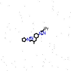 CC(C)c1cn(C2CCCC(CC(C)c3cn(C4CCCC4)cn3)C2)cn1